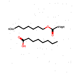 CCCCCCCC(=O)O.CCCCCCCCCCCCCCCCOC(=O)CCCCCCC